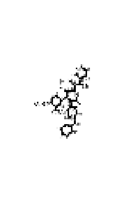 COc1ccc(-c2c(Cl)c(C(N)C(=O)c3cccnc3)nc3sc4c(c23)CCN(Cc2ccccc2)C4)cc1OC